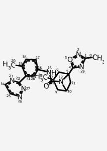 Cc1noc(C23CC(C)CC(C2)N3C(=O)Nc2ccc(C)c(-c3nccnn3)c2)n1